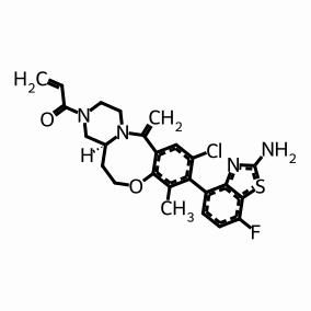 C=CC(=O)N1CCN2C(=C)c3cc(Cl)c(-c4ccc(F)c5sc(N)nc45)c(C)c3OCC[C@H]2C1